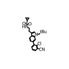 CC(C)(C)Cn1cc(CCNS(=O)(=O)C2CC2)c2ccc(-c3cccc(C#N)c3Cl)cc21